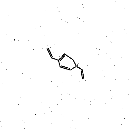 C=CC1=CCN(C=C)C=C1